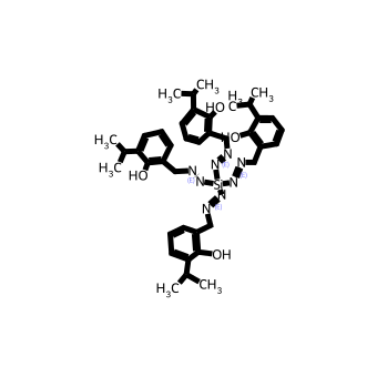 CC(C)c1cccc(C/N=N/[Si](/N=N/Cc2cccc(C(C)C)c2O)(/N=N/Cc2cccc(C(C)C)c2O)/N=N/Cc2cccc(C(C)C)c2O)c1O